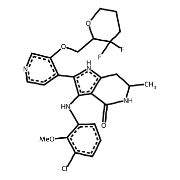 COc1c(Cl)cccc1Nc1c(-c2ccncc2OCC2OCCCC2(F)F)[nH]c2c1C(=O)NC(C)C2